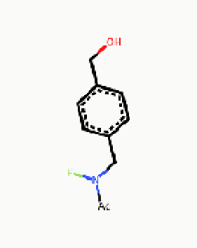 CC(=O)N(F)Cc1ccc(CO)cc1